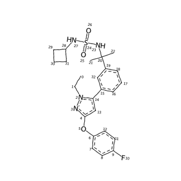 CCn1nc(Oc2ccc(F)cc2)cc1-c1cccc(C(C)(C)NS(=O)(=O)NC2CCC2)c1